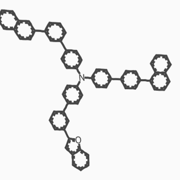 c1cc(-c2ccc(N(c3ccc(-c4ccc(-c5cccc6ccccc56)cc4)cc3)c3ccc(-c4cccc(-c5cc6ccccc6o5)c4)cc3)cc2)cc(-c2ccc3ccccc3c2)c1